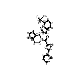 O=C(c1nnc(-c2ccccn2)o1)N1CCc2[nH]cnc2[C@@H]1c1cc2cccc(C(F)(F)F)n2n1